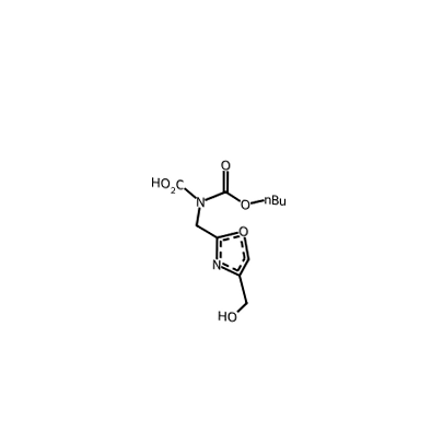 CCCCOC(=O)N(Cc1nc(CO)co1)C(=O)O